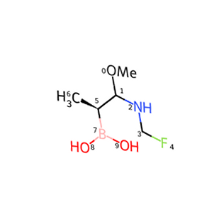 COC(NCF)[C@H](C)B(O)O